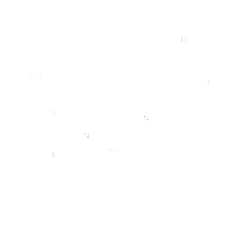 O=C(Nc1c(C(=O)CO)sc2c1cnc1cc(CO)c(CO)cc12)c1ccccc1F